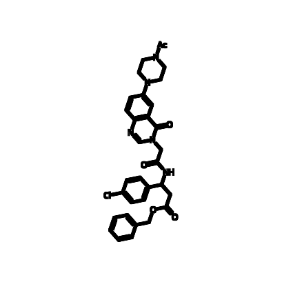 CC(=O)N1CCN(c2ccc3ncn(CC(=O)NC(CC(=O)OCc4ccccc4)c4ccc(Cl)cc4)c(=O)c3c2)CC1